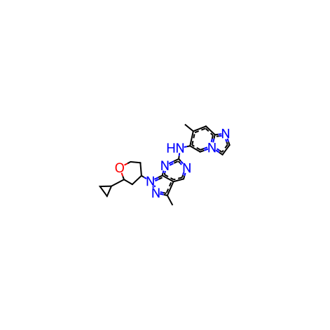 Cc1cc2nccn2cc1Nc1ncc2c(C)nn(C3CCOC(C4CC4)C3)c2n1